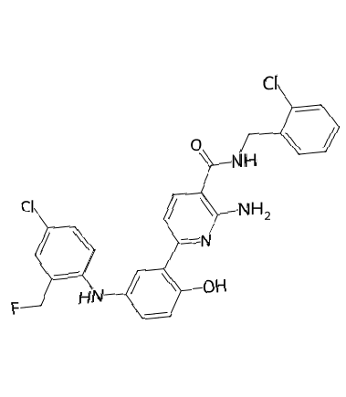 Nc1nc(-c2cc(Nc3ccc(Cl)cc3CF)ccc2O)ccc1C(=O)NCc1ccccc1Cl